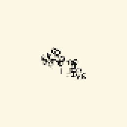 C=C1C[C@@H](COC(C)=O)N(C(=O)c2cc(OC)c(OCCCOc3cc(NC(=O)OC(C)(C)C)c(C(=O)N4CC(=C)C[C@H]4COC(C)=O)cc3OC)cc2N)C1